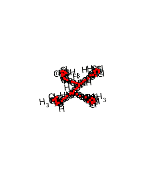 CN1Cc2c(Cl)cc(Cl)cc2[C@H](c2cccc(S(=O)(=O)NCCOCCOCCNC(=O)CN(CCOCCOCCN(CC(=O)NCCOCCOCCNS(=O)(=O)c3cccc([C@@H]4CN(C)Cc5c(Cl)cc(Cl)cc54)c3)CC(=O)NCCOCCOCCNS(=O)(=O)c3cccc([C@@H]4CN(C)Cc5c(Cl)cc(Cl)cc54)c3)CC(=O)NCCOCCOCCNS(=O)(=O)c3cccc([C@@H]4CN(C)Cc5c(Cl)cc(Cl)cc54)c3)c2)C1